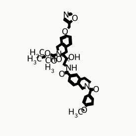 COc1ccc(C(=O)N2CCc3cc(C(=O)NC[C@@H](O)[C@@]4(O)Cc5ccc(OCc6cnco6)cc5CN4C(=O)OC(C)(C)C)ccc3C2)cc1